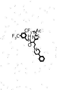 CC(=O)N(C)c1nc(C(CCN2CCC(c3ccccc3)CC2)C(=O)NCc2cc(C(F)(F)F)cc(C(F)(F)F)c2)cs1